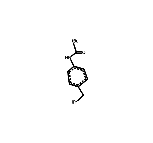 CC(C)Cc1ccc(NC(=O)C(C)(C)C)cc1